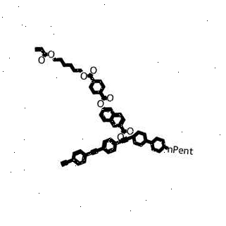 C#Cc1ccc(C#Cc2ccc(C#CC3(OC(=O)c4ccc5cc(OC(=O)C6CCC(C(=O)OCCCCCCOC(=O)C=C)CC6)ccc5c4)CCC(C4CCC(CCCCC)CC4)CC3)cc2)cc1